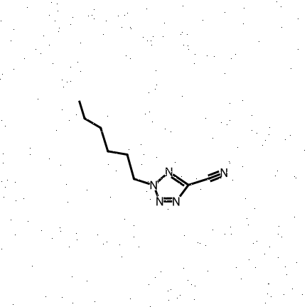 CCCCCCn1nnc(C#N)n1